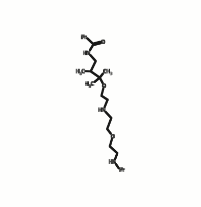 CC(C)NCCOCCNCCOC(C)(C)C(C)CNC(=O)C(C)C